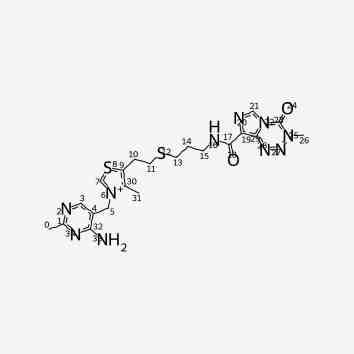 Cc1ncc(C[n+]2csc(CCSCCCNC(=O)c3ncn4c(=O)n(C)nnc34)c2C)c(N)n1